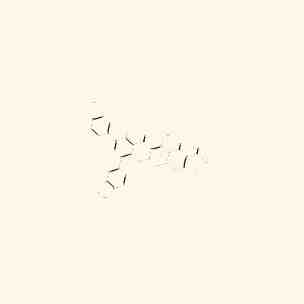 NC(=O)C1=C(O)CC2CC3Cc4c(-c5ccc6c(c5)OCO6)cc(-c5ccc6c(c5)OCO6)c(O)c4C(=O)C3=C(O)C2C1=O